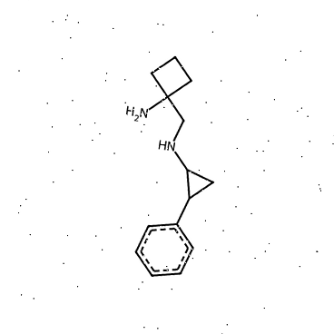 NC1(CNC2CC2c2ccccc2)CCC1